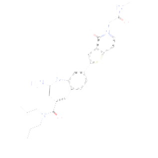 CCCN(CCC)C(=O)C1=Cc2ccc(-c3cc4c(=O)n(CC(=O)NC)ccc4s3)cc2NC(N)C1